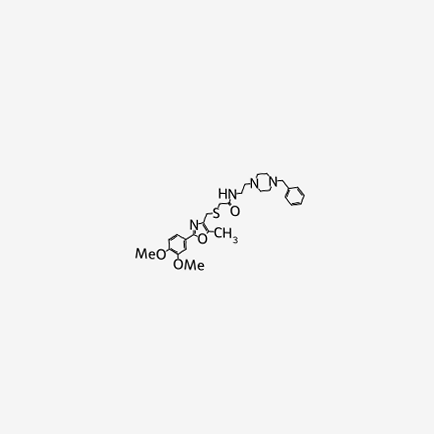 COc1ccc(-c2nc(CSCC(=O)NCCN3CCN(Cc4ccccc4)CC3)c(C)o2)cc1OC